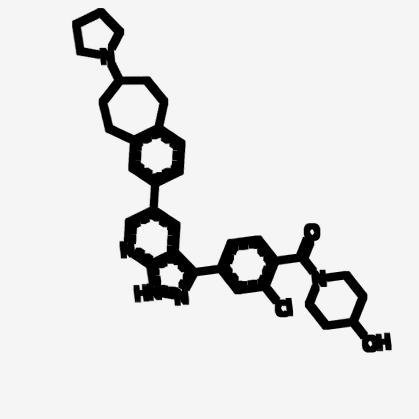 O=C(c1ccc(-c2n[nH]c3ncc(-c4ccc5c(c4)CCC(N4CCCC4)CC5)cc23)cc1Cl)N1CCC(O)CC1